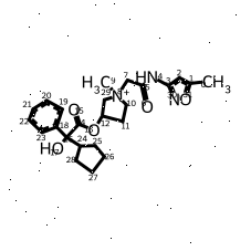 Cc1cc(NC(=O)C[N+]2(C)CCC(OC(=O)C(O)(c3ccccc3)C3CCCC3)C2)no1